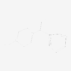 CCOC(=O)C(c1cccnc1)N1CCN(C(C)=O)CC1